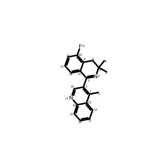 Cc1c(C2=NC(C)(C)Cc3c(F)cccc32)cnc2ccccc12